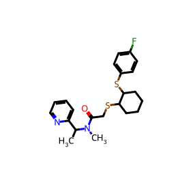 CC(c1ccccn1)N(C)C(=O)CSC1CCCCC1Sc1ccc(F)cc1